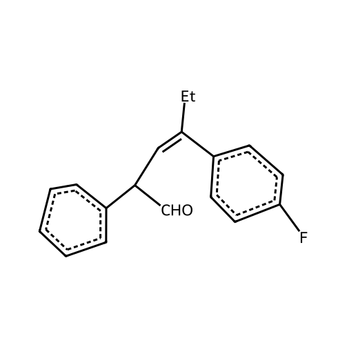 CCC(=CC(C=O)c1ccccc1)c1ccc(F)cc1